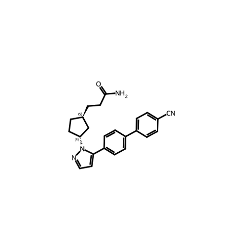 N#Cc1ccc(-c2ccc(-c3ccnn3[C@@H]3CC[C@@H](CCC(N)=O)C3)cc2)cc1